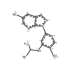 CC(C#N)Nc1cc(-n2ncc3cc(C#N)cnc32)ncc1[N+](=O)[O-]